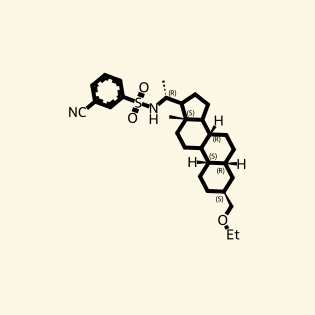 CCOC[C@H]1CC[C@@H]2C3CC[C@@]4(C)C(CCC4[C@@H](C)NS(=O)(=O)c4cccc(C#N)c4)[C@@H]3CC[C@@H]2C1